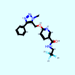 Cn1nnc(-c2ccccc2)c1COc1ccc(C(=O)NCC(F)(F)F)cn1